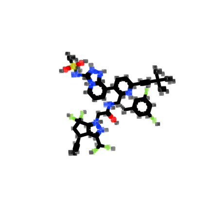 C#C[C@H]1CC(F)(F)c2c1c(C(F)F)nn2CC(=O)N[C@@H](Cc1cc(F)cc(F)c1)c1nc(C#CC(C)(C)C)ccc1-c1cccn2c(NS(C)(=O)=O)nnc12